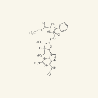 CCOC(=O)C(C)N[P@@](=O)(OC[C@H]1O[C@@H](n2cnc3c(NC4CC4)nc(N)nc32)[C@@](F)(CO)[C@@H]1O)Oc1ccccc1